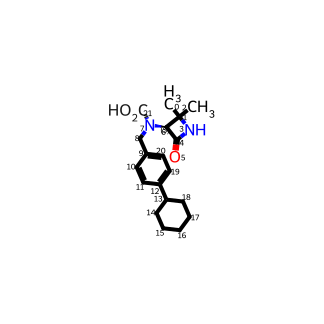 CC1(C)NC(=O)[C@H]1N(Cc1ccc(C2CCCCC2)cc1)C(=O)O